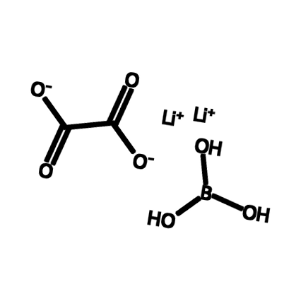 O=C([O-])C(=O)[O-].OB(O)O.[Li+].[Li+]